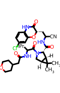 CC(C)C(NC(=O)CC1CCOCC1)C(=O)N1C[C@H]2[C@@H]([C@H]1C(=O)NC(C#N)C[C@@H]1Oc3cc(Cl)ccc3NC1=O)C2(C)C